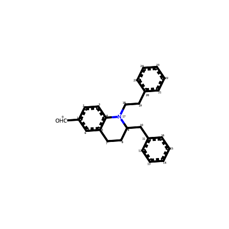 O=Cc1ccc2c(c1)CCC(Cc1ccccc1)N2CCc1ccccc1